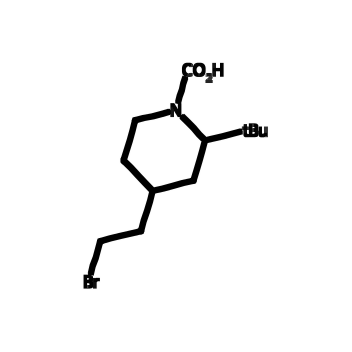 CC(C)(C)C1CC(CCBr)CCN1C(=O)O